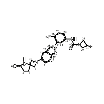 O=C1CCC2(CN(c3cnc4nn(-c5cc(NC(=O)N6CC(F)C6)ccc5F)cc4c3)C2)N1